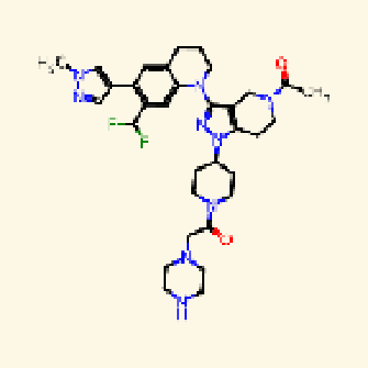 CC(=O)N1CCc2c(c(N3CCCc4cc(-c5cnn(C)c5)c(C(F)F)cc43)nn2C2CCN(C(=O)CN3CCNCC3)CC2)C1